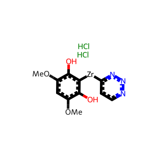 COc1cc(OC)c(O)[c]([Zr][c]2ccnnn2)c1O.Cl.Cl